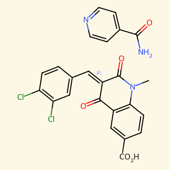 CN1C(=O)/C(=C/c2ccc(Cl)c(Cl)c2)C(=O)c2cc(C(=O)O)ccc21.NC(=O)c1ccncc1